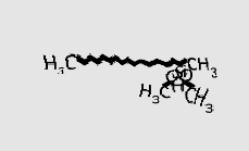 CCCCCCCCCCCCCCCCC(CC)[SiH](OCCC)OCCC